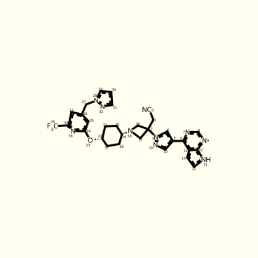 N#CCC1(n2cc(-c3ncnc4[nH]ccc34)cn2)CN([C@H]2CC[C@@H](Oc3cc(Cn4cccn4)cc(C(F)(F)F)n3)CC2)C1